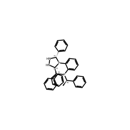 C[C@H](c1ccccc1)P(c1ccccc1P1[C@@H](c2ccccc2)NN[C@@H]1c1ccccc1)[C@@H](C)c1ccccc1